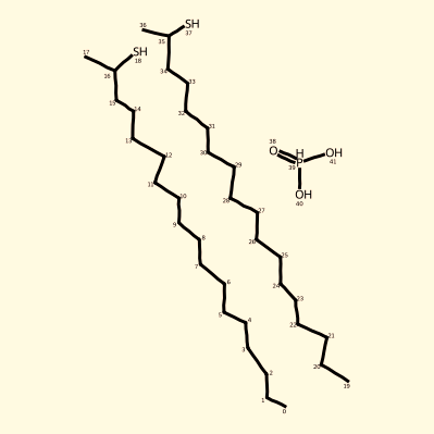 CCCCCCCCCCCCCCCCC(C)S.CCCCCCCCCCCCCCCCC(C)S.O=[PH](O)O